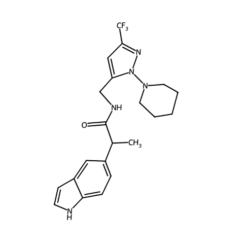 CC(C(=O)NCc1cc(C(F)(F)F)nn1N1CCCCC1)c1ccc2[nH]ccc2c1